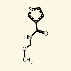 COCNC(=O)c1ccsc1